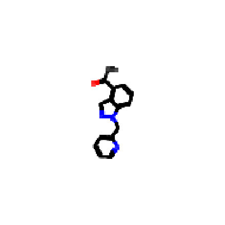 COC(=O)c1cccc2c1cnn2Cc1ccccn1